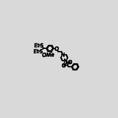 CCSC(SCC)c1ccc(OCCN2CCN(S(=O)(=O)Cc3ccccc3)CC2)c(OC)c1